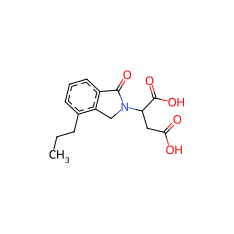 CCCc1cccc2c1CN(C(CC(=O)O)C(=O)O)C2=O